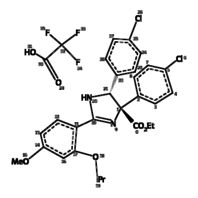 CCOC(=O)[C@@]1(c2ccc(Cl)cc2)N=C(c2ccc(OC)cc2OC(C)C)N[C@@H]1c1ccc(Cl)cc1.O=C(O)C(F)(F)F